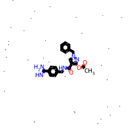 CC(=O)Oc1nn(Cc2ccccc2)cc1C(=O)NCc1ccc(C(=N)N)cc1